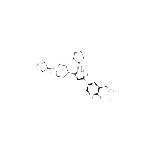 Nc1ncc(-c2cc(C3CCN(C4COC4)CC3)n(C3CCCC3)n2)cc1CO